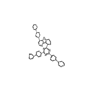 c1ccc(-c2ccc(-c3nc(-c4ccc(-c5ccccc5)cc4)nc(-c4cccc5oc6c(-c7ccc(-c8ccccc8)cc7)ccnc6c45)n3)cc2)cc1